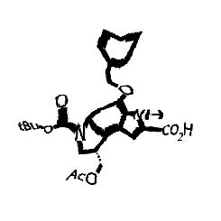 CC(=O)OC[C@@H]1CN(C(=O)OC(C)(C)C)c2cc(OCc3ccccc3)c3[nH]c(C(=O)O)cc3c21